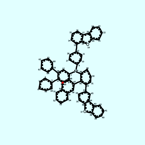 c1ccc(-c2ccc(N(c3ccc(-c4cccc5c4oc4ccccc45)cc3)c3cccc(-c4ccc5oc6ccccc6c5c4)c3-c3ccc4ccccc4c3)cc2-c2ccccc2)cc1